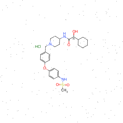 CS(=O)(=O)Nc1ccc(Oc2ccc(CN3CCC(NC(=O)[C@@H](O)C4CCCCC4)CC3)cc2)cc1.Cl